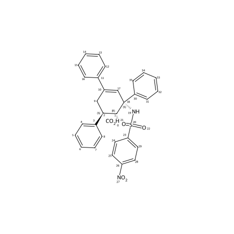 O=C(O)[C@@H]1[C@@H](c2ccccc2)CC(c2ccccc2)=C[C@@]1(NS(=O)(=O)c1ccc([N+](=O)[O-])cc1)c1ccccc1